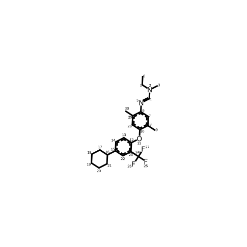 CCN(C)C=Nc1cc(C)c(Oc2ccc(C3CCCCC3)cc2C(F)(F)F)cc1C